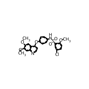 COc1cc2nccc(Oc3ccc(NS(=O)(=O)c4cc(Cl)ccc4OC)cc3)c2cc1OC